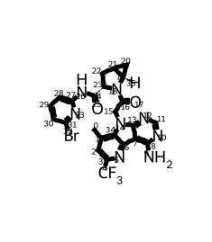 Cc1cc(C(F)(F)F)nc2c3c(N)ncnc3n(CC(=O)N3[C@@H]4CC4C[C@H]3C(=O)Nc3cccc(Br)n3)c12